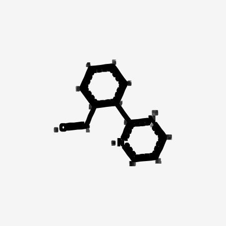 O=[C]c1ccccc1-c1ncccn1